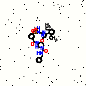 Cc1cccc(C)c1-c1cc2nc(n1)NS(=O)(=O)c1cccc(c1)C(=O)NC1(CCN(C(=O)NCc3ccccc3)CC1)O2